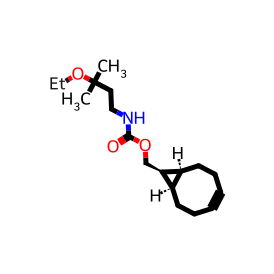 CCOC(C)(C)CCNC(=O)OC[C@@H]1[C@@H]2CCC#CCC[C@@H]21